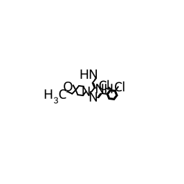 C[C@H]1CC2(CCN(C3=NC=C(c4cccc(Cl)c4Cl)N/C3=C\C=N)CC2)CO1